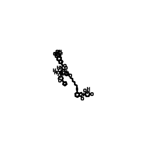 CC(C)(C)[C@H](NC(=O)C1=Cc2cc(C(F)(F)P(=O)(O)O)ccc2C1)C(=O)N1C[C@@H](OCCCCCCC#Cc2cccc3c2CN(C2CCC(=O)NC2=O)C3=O)C[C@H]1C(=O)N1CCOC(C2=CC=CC2)C1